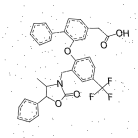 CC1C(c2ccccc2)OC(=O)N1Cc1cc(C(F)(F)F)ccc1Oc1cc(CC(=O)O)ccc1-c1ccccc1